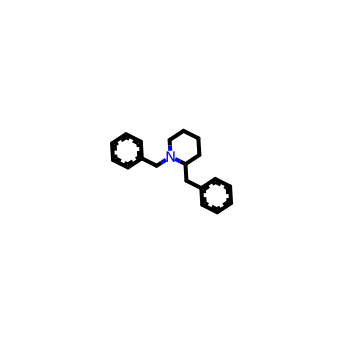 c1ccc(CC2CCCCN2Cc2ccccc2)cc1